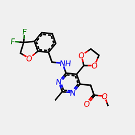 COC(=O)Cc1nc(C)nc(NCc2cccc3c2OCC3(F)F)c1C1OCCO1